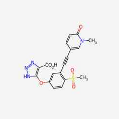 Cn1cc(C#Cc2cc(Oc3[nH]nnc3C(=O)O)ccc2S(C)(=O)=O)ccc1=O